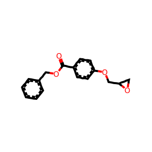 O=C(OCc1ccccc1)c1ccc(OCC2CO2)cc1